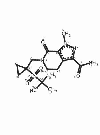 Cn1nc(C(N)=O)c2c1C(=O)N(CC1(S(=O)(=O)C(C)(C)C#N)CC1)CC2